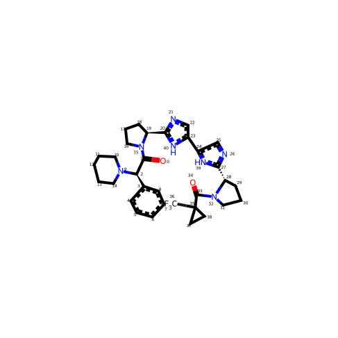 O=C([C@@H](c1ccccc1)N1CCCCC1)N1CCC[C@H]1c1ncc(-c2cnc([C@@H]3CCCN3C(=O)C3(C(F)(F)F)CC3)[nH]2)[nH]1